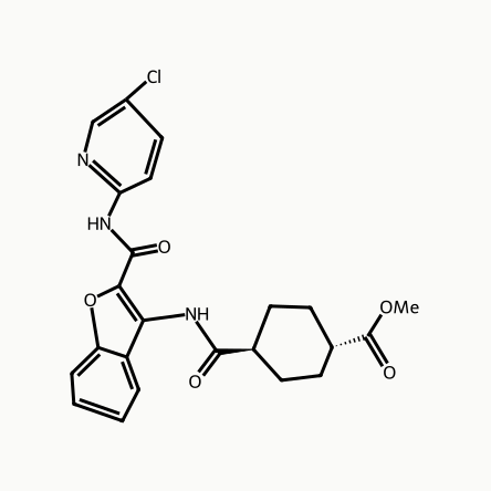 COC(=O)[C@H]1CC[C@H](C(=O)Nc2c(C(=O)Nc3ccc(Cl)cn3)oc3ccccc23)CC1